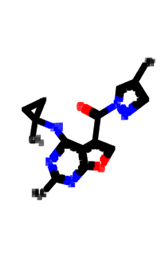 Cc1nc(NC2(C)CC2)c2c(C(=O)n3cc(C(C)C)cn3)coc2n1